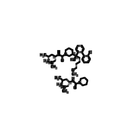 CNC[C@H](CC(C)C)NC(=O)N1CCCCC1.CNC[C@H](CC(C)C)NC(=O)N1CCC[C@@H]([C@@](O)(CCCCOC)c2ccccc2-c2ccccc2Cl)C1